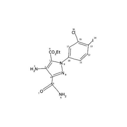 CCOC(=O)c1c(N)c(C(N)=O)nn1-c1ccc(I)c(Cl)c1